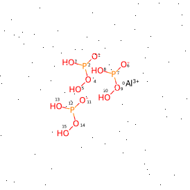 [Al+3].[O-]P(O)OO.[O-]P(O)OO.[O-]P(O)OO